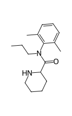 CCCN(C(=O)C1CCCCN1)c1c(C)cccc1C